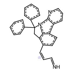 N=C/C=C\c1ccc2c3cccnc3n3c2c1CC3(c1ccccc1)c1ccccc1